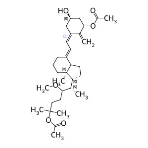 C=C1/C(=C\C=C2CCC[C@@]3(C)C2CC[C@@H]3[C@H](C)C(CCC(C)(C)OC(C)=O)OC)C[C@@H](O)CC1OC(C)=O